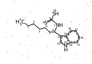 CCCCCCC(NC(=S)S)c1c[nH]c2ccccc12